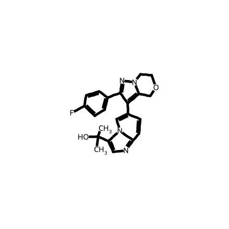 CC(C)(O)c1cnc2ccc(-c3c(-c4ccc(F)cc4)nn4c3COCC4)cn12